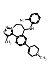 Cc1nnn2c1-c1ccc(C3=CCN(C)CC3)cc1C(Nc1ccccc1C#N)CC2